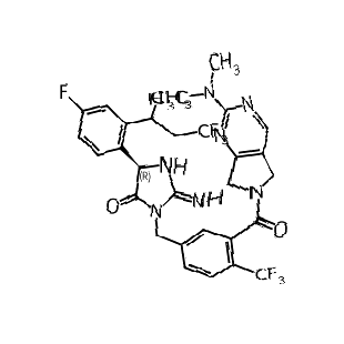 CC(CC(F)(F)F)c1cc(F)ccc1[C@H]1NC(=N)N(Cc2ccc(C(F)(F)F)c(C(=O)N3Cc4cnc(N(C)C)nc4C3)c2)C1=O